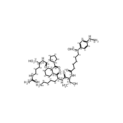 C[C@@H](O)[C@H](NC(=O)CCCCCN(C=O)c1ccc(NN)nc1)C(=O)N[C@@H](CCCCN)C(=O)N1CCCC[C@H]1C(=O)N1CCC[C@H]1C(=O)N[C@@H](CCCNC(=N)N)C(=O)O